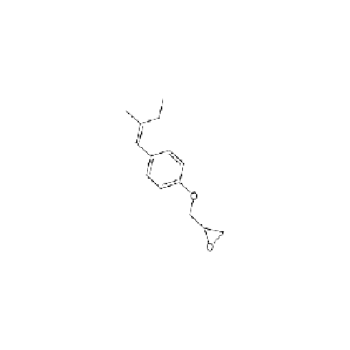 CCC(C)=Cc1ccc(OCC2CO2)cc1